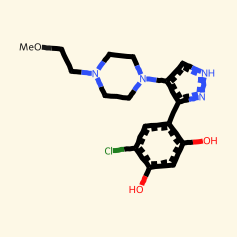 COCCN1CCN(c2c[nH]nc2-c2cc(Cl)c(O)cc2O)CC1